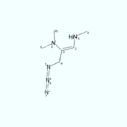 CN/C=C(/CN=[N+]=[N-])N(C)C